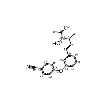 CC(=O)N(O)C(C)/C=C/c1cccc(Oc2ccc(C#N)cc2)c1